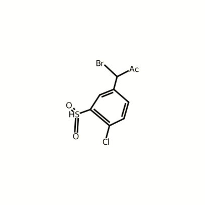 CC(=O)C(Br)c1ccc(Cl)c([SH](=O)=O)c1